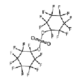 O=S(=O)(OC1(F)C(F)(F)C(F)(F)C(F)(F)C(F)(F)C1(F)F)OC1(F)C(F)(F)C(F)(F)C(F)(F)C(F)(F)C1(F)F